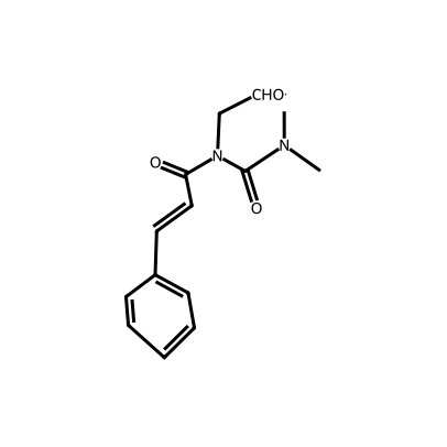 CN(C)C(=O)N(C[C]=O)C(=O)C=Cc1ccccc1